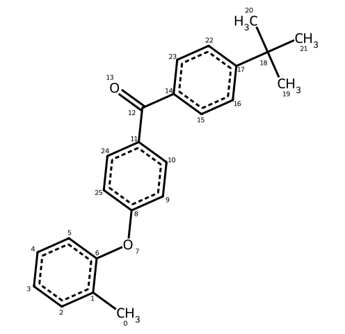 Cc1ccccc1Oc1ccc(C(=O)c2ccc(C(C)(C)C)cc2)cc1